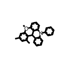 COc1cccc2c1C(c1c(C)cc(C)cc1C)c1ccccc1N2c1ccccc1